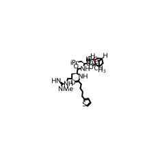 CNC(=N)NCCC[C@H](NC(=O)CCCCc1cccs1)C(=O)N[C@@H](CC(C)C)B1O[C@@H]2C[C@@H]3C[C@@H](C3(C)C)[C@]2(C)O1